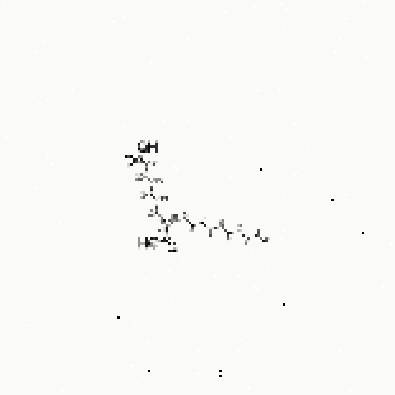 CCCCCCCCCCC1C(CCCCCCC(=O)O)C1C(=O)O